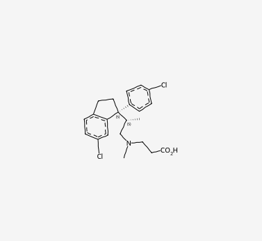 C[C@H](CN(C)CCC(=O)O)[C@]1(c2ccc(Cl)cc2)CCc2ccc(Cl)cc21